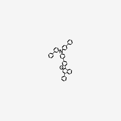 c1ccc(-c2ccc(N(c3ccc(-c4ccc5c(c4)oc4cc(-c6ccccc6)c6ccccc6c45)cc3)c3cccc(-c4ccccc4)c3)cc2)cc1